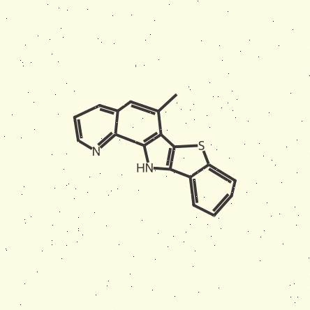 Cc1cc2cccnc2c2[nH]c3c4ccccc4sc3c12